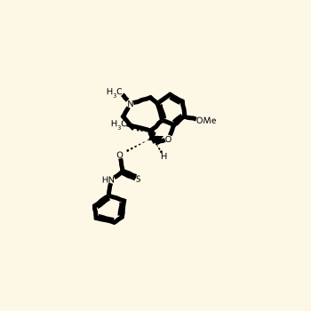 COc1ccc2c3c1O[C@@H]1C[C@H](OC(=S)Nc4ccccc4)C(C)[C@]31CCN(C)C2